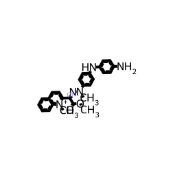 COC(=O)/C(=N\N(C)c1ccc(Nc2ccc(N)cc2)cc1)c1ccc2ccccc2[n+]1C